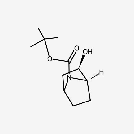 CC(C)(C)OC(=O)N1C2CC[C@@H]1[C@H](O)C2